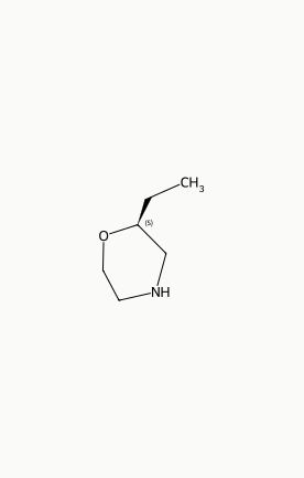 CC[C@H]1CNCCO1